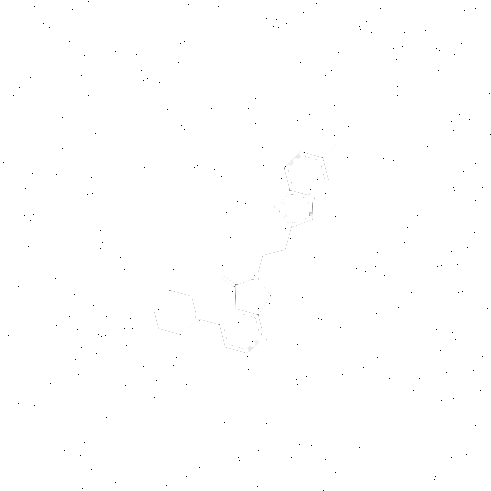 O=C1c2c(N3CCOCC3)ccnc2CN1CCc1cn2cc(F)ccc2n1